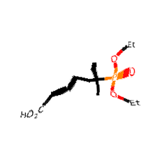 CCOP(=O)(OCC)C(C)(C)C/C=C/C(=O)O